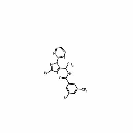 CC(NC(=O)c1cc(Br)cc(C(F)(F)F)c1)c1nc(Br)nn1-c1ncccn1